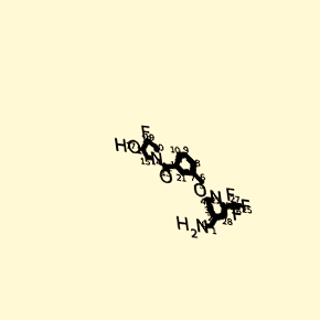 NCc1cc(OCc2cccc(C(=O)N3C[C@H](O)[C@@H](F)C3)c2)nc(C(F)(F)F)c1